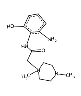 CN1CC[N+](C)(CC(=O)Nc2c(N)cccc2O)CC1